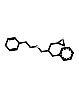 C1=CC(CCOCC(Cc2ccccc2)CC2CO2)C=CC1